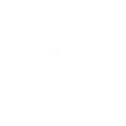 CC1=C(C)C(=O)NCC1